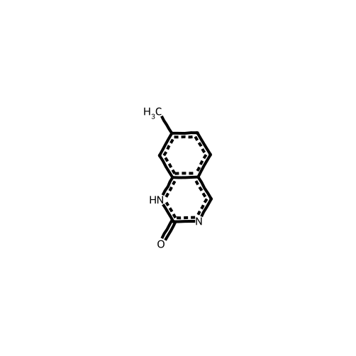 Cc1ccc2cnc(=O)[nH]c2c1